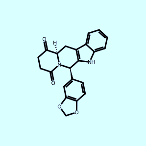 O=C1CCC(=O)N2[C@H](c3ccc4c(c3)OCO4)c3[nH]c4ccccc4c3C[C@H]12